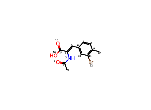 CC(=O)N/C(=C\c1ccc(C)c(Br)c1)C(=O)O